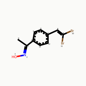 CC(=NO)c1ccc(C=C(Br)Br)cc1